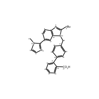 CCCCc1nc2ccc(-c3nccn3C)cc2n1Cc1ccc(-c2ccccc2C(=O)O)cc1